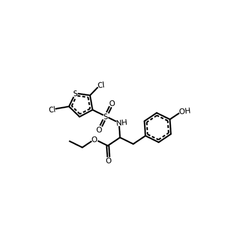 CCOC(=O)C(Cc1ccc(O)cc1)NS(=O)(=O)c1cc(Cl)sc1Cl